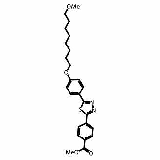 COCCCCCCCCOc1ccc(-c2nnc(-c3ccc(C(=O)OC)cc3)s2)cc1